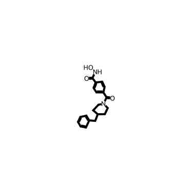 O=C(NO)c1ccc(C(=O)N2CCC(Cc3ccccc3)CC2)cc1